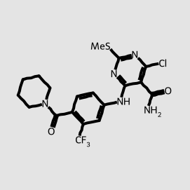 CSc1nc(Cl)c(C(N)=O)c(Nc2ccc(C(=O)N3CCCCC3)c(C(F)(F)F)c2)n1